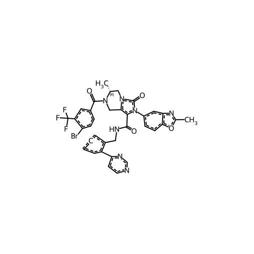 Cc1nc2cc(-n3c(C(=O)NCc4ccccc4-c4ccncn4)c4n(c3=O)C[C@@H](C)N(C(=O)c3ccc(Br)c(C(F)(F)F)c3)C4)ccc2o1